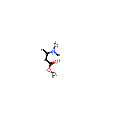 CCOC(=O)CC(C)N(C)CC